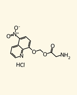 Cl.NCC(=O)OCOc1ccc([N+](=O)[O-])c2cccnc12